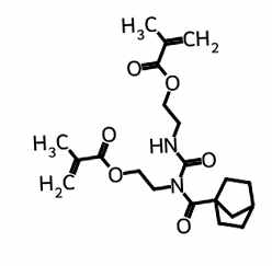 C=C(C)C(=O)OCCNC(=O)N(CCOC(=O)C(=C)C)C(=O)C12CCC(CC1)C2